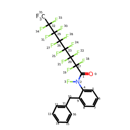 O=C(N(F)c1ccccc1Cc1ccccc1)C(F)(F)C(F)(F)C(F)(F)C(F)(F)C(F)(F)C(F)(F)C(F)(F)F